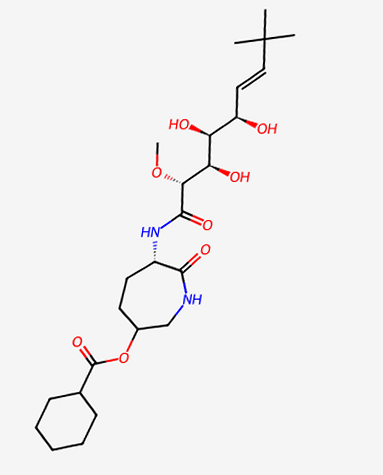 CO[C@@H](C(=O)N[C@H]1CCC(OC(=O)C2CCCCC2)CNC1=O)[C@H](O)[C@@H](O)[C@H](O)/C=C/C(C)(C)C